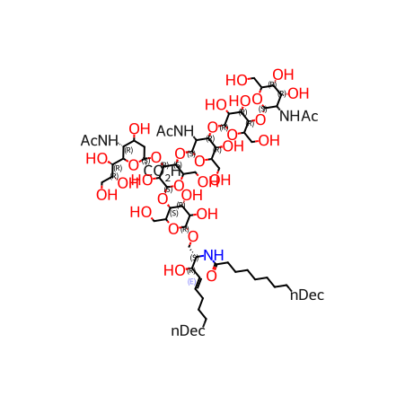 CCCCCCCCCCCCC/C=C/[C@@H](O)[C@H](CO[C@@H]1OC(CO)[C@@H](O[C@@H]2OC(CO)[C@H](O[C@@H]3OC(CO)[C@H](O)[C@H](O[C@@H]4OC(CO)[C@H](O[C@@H]5OC(CO)[C@H](O)[C@H](O)C5NC(C)=O)[C@H](O)C4O)C3NC(C)=O)[C@H](O[C@]3(C(=O)O)CC(O)[C@@H](NC(C)=O)C([C@H](O)[C@H](O)CO)O3)C2O)[C@H](O)C1O)NC(=O)CCCCCCCCCCCCCCCCC